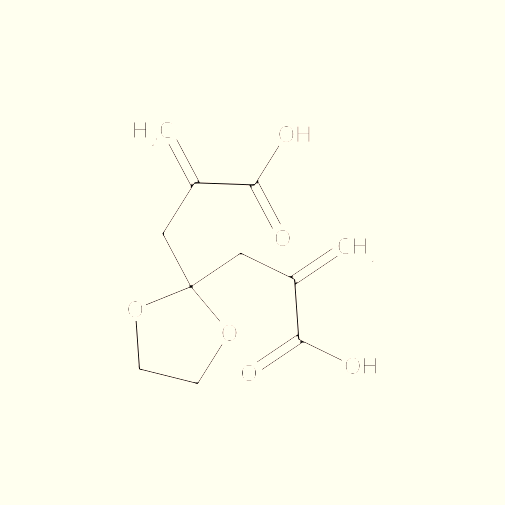 C=C(CC1(CC(=C)C(=O)O)OCCO1)C(=O)O